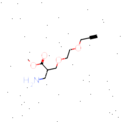 C#CCOCCOCC(CN)C(=O)OC